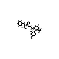 CC(C)N(Cc1ccccc1)C(=O)CCC(=O)N1CCc2sccc2C1c1ccc(F)cc1